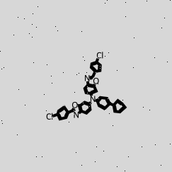 Clc1ccc(-c2nc3ccc(N(c4ccc(-c5ccccc5)cc4)c4ccc5nc(-c6ccc(Cl)cc6)oc5c4)cc3o2)cc1